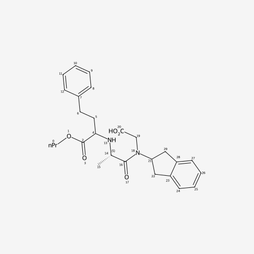 CCCOC(=O)C(CCc1ccccc1)N[C@@H](C)C(=O)N(CC(=O)O)C1Cc2ccccc2C1